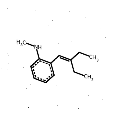 CCC(=Cc1ccccc1NC)CC